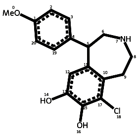 COc1ccc(C2CNCCc3c2cc(O)c(O)c3Cl)cc1